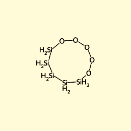 O1OO[SiH2][SiH2][SiH2][SiH2][SiH2]OO1